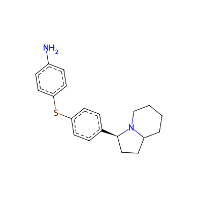 Nc1ccc(Sc2ccc([C@@H]3CCC4CCCCN43)cc2)cc1